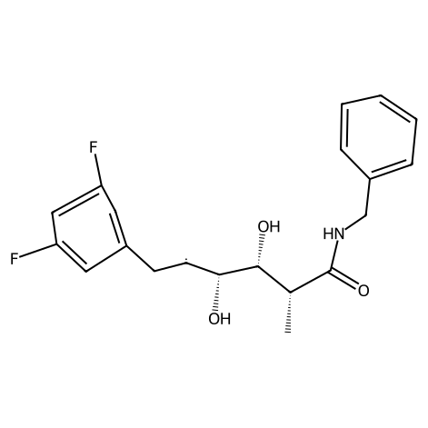 C[C@@H](C(=O)NCc1ccccc1)[C@@H](O)[C@H](O)[CH]Cc1cc(F)cc(F)c1